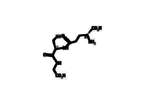 N[C@H](CCC(=O)N[C@H](CS)C(=O)NCC(=O)O)C(=O)O